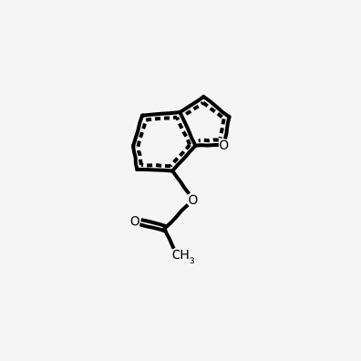 CC(=O)Oc1cccc2ccoc12